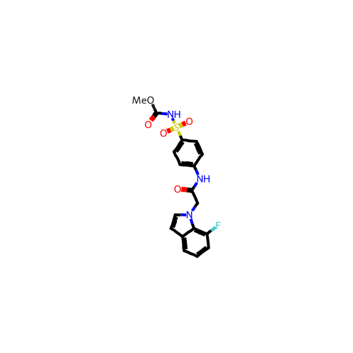 COC(=O)NS(=O)(=O)c1ccc(NC(=O)Cn2ccc3cccc(F)c32)cc1